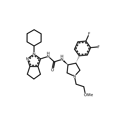 COCCN1C[C@@H](NC(=O)Nc2c3c(nn2C2CCCCC2)CCC3)[C@H](c2ccc(F)c(F)c2)C1